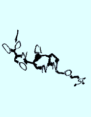 CCOC(=O)c1coc(-c2cnc3c(ccn3COCC[Si](C)(C)C)c2Cl)n1